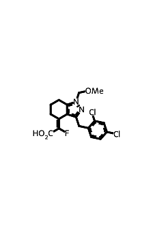 COCn1nc(Cc2ccc(Cl)cc2Cl)c2c1CCCC2=C(F)C(=O)O